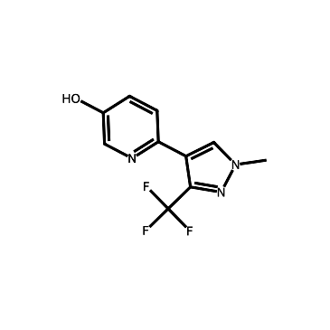 Cn1cc(-c2ccc(O)cn2)c(C(F)(F)F)n1